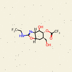 O=C(O[C@@H]1[C@@H](CO)C[C@@H]2OC(NCC(F)(F)F)=N[C@@H]2[C@H]1O)C(F)(F)F